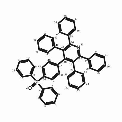 O=P(c1ccccc1)(c1ccccc1)c1ccc(-c2c(-c3ccccc3)c(-c3ccccc3)nc(-c3ccccc3)c2-c2ccccc2)cc1